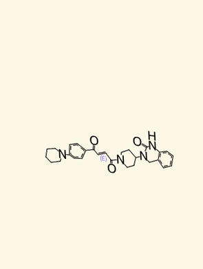 O=C(/C=C/C(=O)N1CCC(N2Cc3ccccc3NC2=O)CC1)c1ccc(N2CCCCC2)cc1